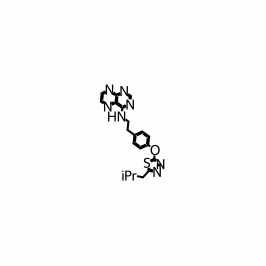 CC(C)Cc1nnc(Oc2ccc(CCNc3ncnc4nccnc34)cc2)s1